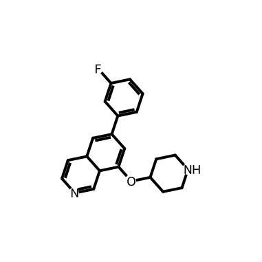 Fc1cccc(C2=CC3C=CN=CC3C(OC3CCNCC3)=C2)c1